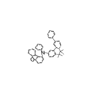 CC1(C)c2ccc(-c3ccccc3)cc2-c2cc(N(c3ccccc3)c3cccc4oc5ccccc5c34)ccc2C1(C)C